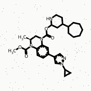 COC(=O)N1c2ccc(-c3cnn(C4CC4)c3)cc2N(C(=O)OC2CC(C3CCCCCC3)CCN2)C[C@@H]1C